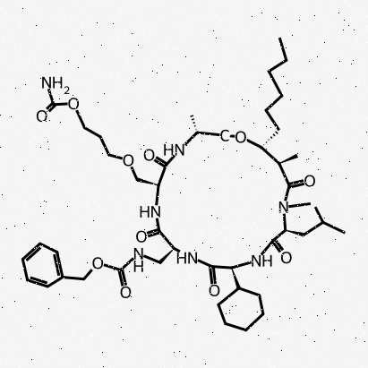 CCCCCC[C@H]1OC[C@@H](C)NC(=O)[C@H](COCCCOC(N)=O)NC(=O)[C@H](CNC(=O)OCc2ccccc2)NC(=O)[C@H](C2CCCCC2)NC(=O)[C@H](CC(C)C)N(C)C(=O)[C@@H]1C